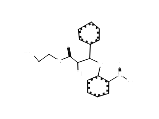 O=C(NCCO)C(O)C(Oc1ccccc1[N+](=O)[O-])c1ccccc1